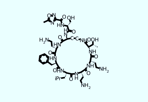 Cc1nc(C(=O)N[C@H](CO)C(=O)N[C@H]2CCNC(=O)[C@H]([C@@H](C)O)NC(=O)[C@H](CCN)NC(=O)[C@H](CCN)NC(=O)[C@H](CC(C)C)NC(=O)[C@@H](Cc3ccccc3)NC(=O)[C@H](CCN)NC2=O)no1